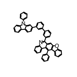 c1ccc(-c2c3c(cc4c(-c5cccc(-c6cccc(-c7ccc8c9ccccc9n(-c9ccccc9)c8c7)c6)c5)nc5ccccc5c24)oc2ccccc23)cc1